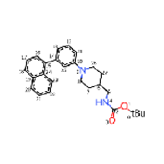 CC(C)(C)OC(=O)NCC1CCN(c2cccc(-c3cccc4ccccc34)c2)CC1